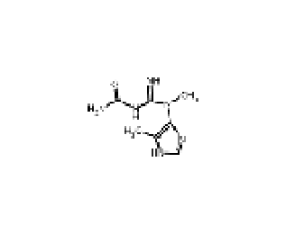 Cc1[nH]cnc1N(C)C(=N)NC(N)=O